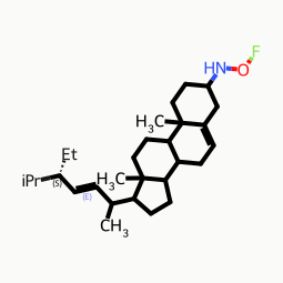 CC[C@H](/C=C/C(C)C1CCC2C3CC=C4CC(NOF)CCC4(C)C3CCC12C)C(C)C